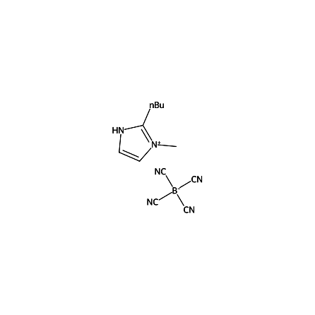 CCCCc1[nH]cc[n+]1C.N#C[B-](C#N)(C#N)C#N